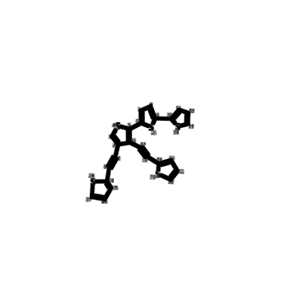 C(#Cc1csc(-c2ccc(-c3cccs3)s2)c1C#Cc1cccs1)c1cccs1